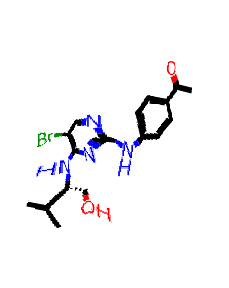 CC(=O)c1ccc(Nc2ncc(Br)c(N[C@H](CO)C(C)C)n2)cc1